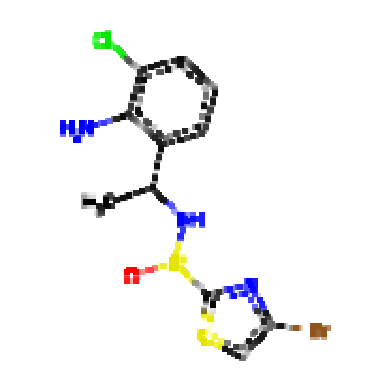 CC(N[S+]([O-])c1nc(Br)cs1)c1cccc(Cl)c1N